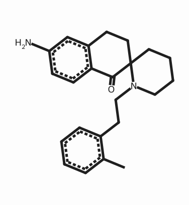 Cc1ccccc1CCN1CCCCC12CCc1cc(N)ccc1C2=O